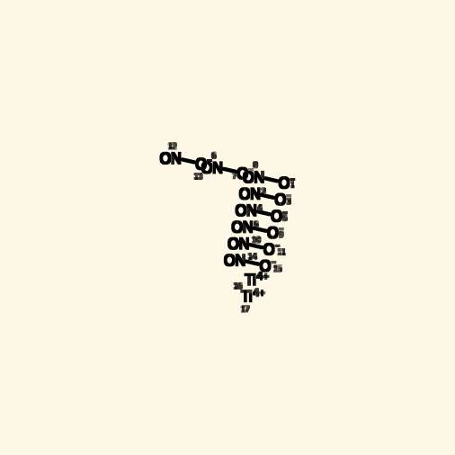 O=N[O-].O=N[O-].O=N[O-].O=N[O-].O=N[O-].O=N[O-].O=N[O-].O=N[O-].[Ti+4].[Ti+4]